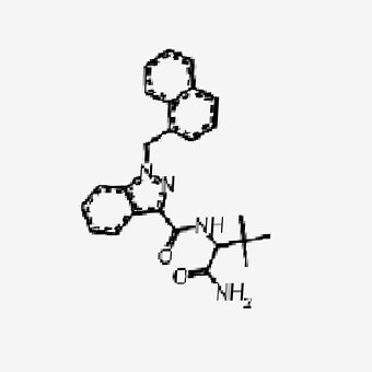 CC(C)(C)[C@H](NC(=O)c1nn(Cc2cccc3ccccc23)c2ccccc12)C(N)=O